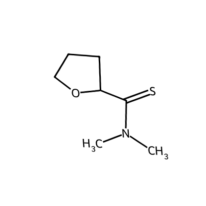 CN(C)C(=S)C1CCCO1